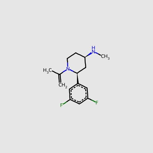 C=C(C)N1CC[C@@H](NC)C[C@H]1c1cc(F)cc(F)c1